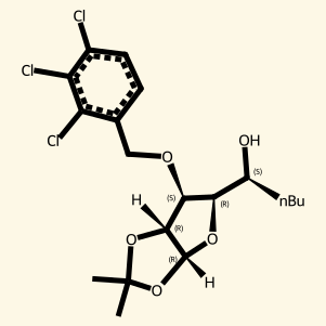 CCCC[C@H](O)[C@H]1O[C@@H]2OC(C)(C)O[C@@H]2[C@H]1OCc1ccc(Cl)c(Cl)c1Cl